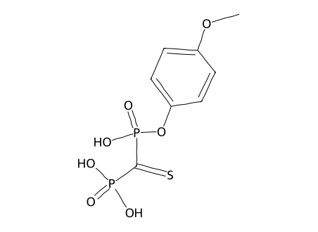 COc1ccc(OP(=O)(O)C(=S)P(=O)(O)O)cc1